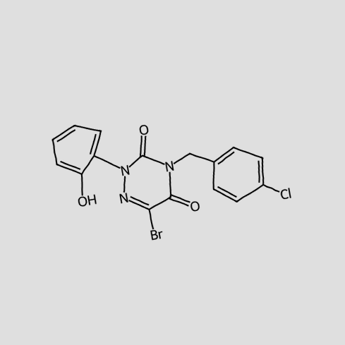 O=c1c(Br)nn(-c2ccccc2O)c(=O)n1Cc1ccc(Cl)cc1